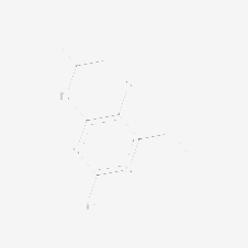 CCOc1nc(C(C)C)nc(NC(CC)CC)c1[N+](=O)[O-]